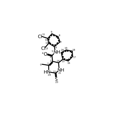 CC1=C(C(=O)Nc2cccc(Cl)c2Cl)C(c2ccccc2)NC(=S)N1